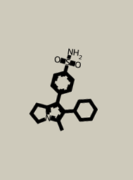 Cc1c(C2CCCCC2)c(-c2ccc(S(N)(=O)=O)cc2)c2n1CCC2